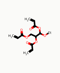 C=CC(=O)OCC(OC(=O)C=C)C(OCC)OC(=O)C=C